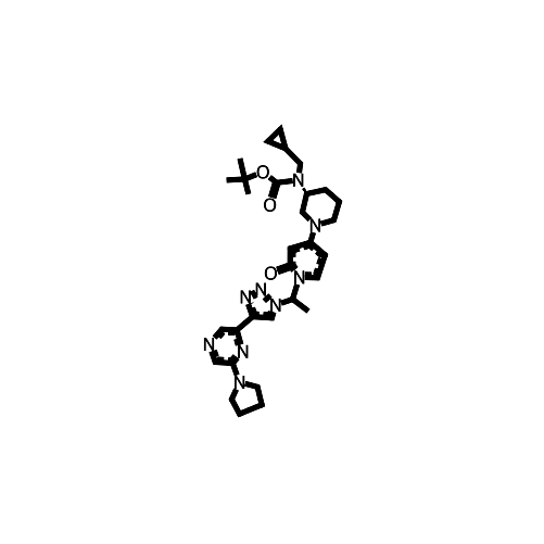 CC(n1cc(-c2cncc(N3CCCC3)n2)nn1)n1ccc(N2CCC[C@@H](N(CC3CC3)C(=O)OC(C)(C)C)C2)cc1=O